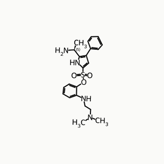 C[C@H](N)c1[nH]c(S(=O)(=O)Oc2ccccc2NCCN(C)C)cc1-c1ccccc1